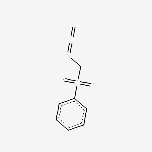 O=C=NCS(=O)(=O)c1ccccc1